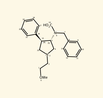 COCCN1C[C@@H](N(Cc2ccccc2)C(=O)O)[C@H](c2ccccc2)C1